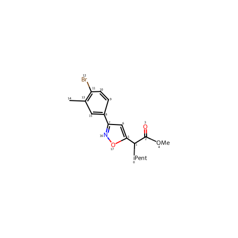 CCCC(C)C(C(=O)OC)c1cc(-c2ccc(Br)c(C)c2)no1